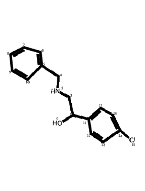 OC(CNCc1ccccc1)c1ccc(Cl)cc1